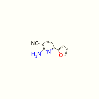 N#Cc1ccc(-c2ccco2)nc1N